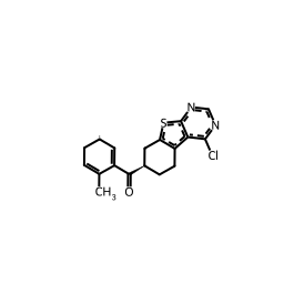 CC1=CC[CH]C=C1C(=O)[C@@H]1CCc2c(sc3ncnc(Cl)c23)C1